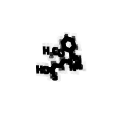 COC1CCCCC1n1nnnc1CCCC(O)=S